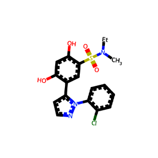 CCN(C)S(=O)(=O)c1cc(-c2ccnn2-c2ccccc2Cl)c(O)cc1O